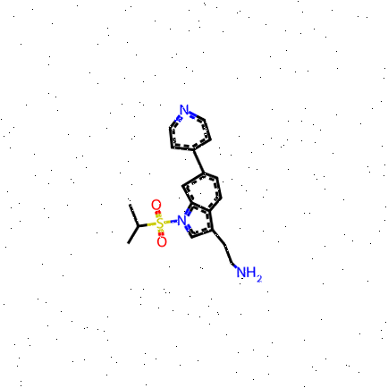 CC(C)S(=O)(=O)n1cc(CCN)c2ccc(-c3ccncc3)cc21